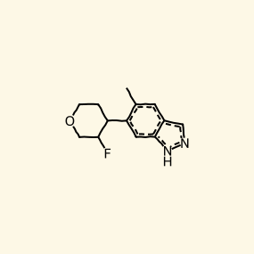 Cc1cc2cn[nH]c2cc1C1CCOCC1F